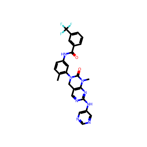 Cc1ccc(NC(=O)c2cccc(C(F)(F)F)c2)cc1N1Cc2cnc(Nc3cncnc3)nc2N(C)C1=O